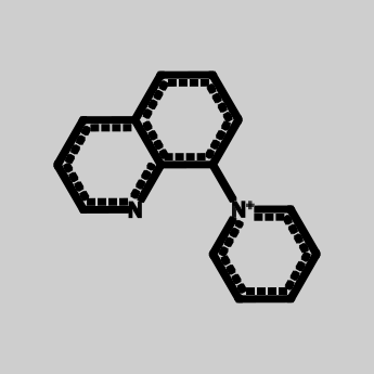 c1cc[n+](-c2cccc3cccnc23)cc1